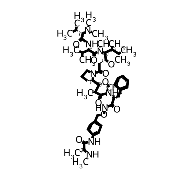 CC[C@H](C)[C@@H]([C@@H](CC(=O)N1CCC[C@H]1[C@H](OC)[C@@H](C)C(=O)N[C@@H](Cc1ccccc1)C(=O)NOCc1ccc(NC(=O)[C@@H](C)NC)cc1)OC)N(C)C(=O)[C@@H](NC(=O)[C@H](C(C)C)N(C)C)C(C)C